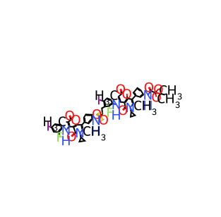 COC(OC)C(=O)Nc1cccc(-c2c(C)n(C3CC3)c(=O)c3c(Nc4ccc(I)c(CCS(=O)(=O)Nc5cccc(-c6c(C)n(C7CC7)c(=O)c7c(Nc8ccc(I)cc8F)c(C)c(=O)oc67)c5)c4F)c(C)c(=O)oc23)c1